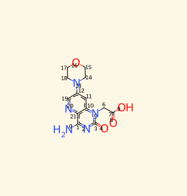 Nc1nc(=O)n(CC(=O)O)c2cc(N3CCOCC3)cnc12